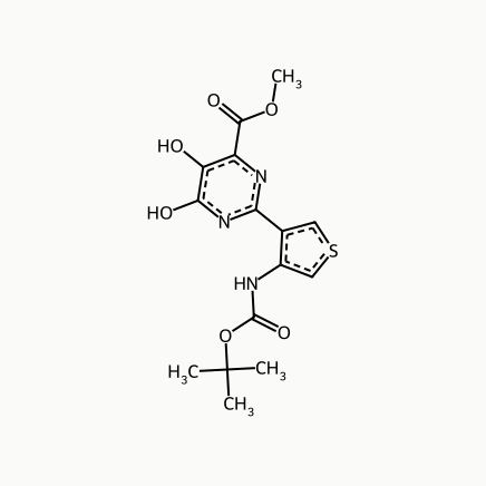 COC(=O)c1nc(-c2cscc2NC(=O)OC(C)(C)C)nc(O)c1O